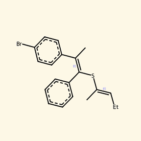 CC/C=C(\C)S/C(=C(\C)c1ccc(Br)cc1)c1ccccc1